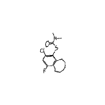 CN(C)C(=O)Sc1c(Cl)cc(F)c2c1CCCCC2